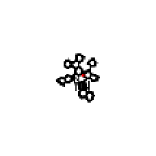 c1ccc(-c2ccc(-c3nc4c(ccc5ccccc54)nc3-n3c4cc5ccccc5cc4c4c5c6ccccc6c6ccccc6c5ccc43)c3ccccc23)cc1